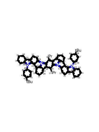 CC(C)c1c2c3cccc4c5c6c(ccc5n(c2c(C(C)C)c2c5cccc7c8c9c(ccc8n(c12)c57)c1ccccc1n9-c1ccc(C(C)(C)C)cc1)c34)c1ccccc1n6-c1ccc(C(C)(C)C)cc1